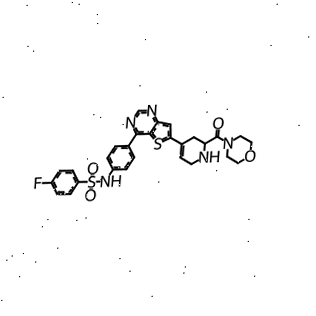 O=C(C1CC(c2cc3ncnc(-c4ccc(NS(=O)(=O)c5ccc(F)cc5)cc4)c3s2)=CCN1)N1CCOCC1